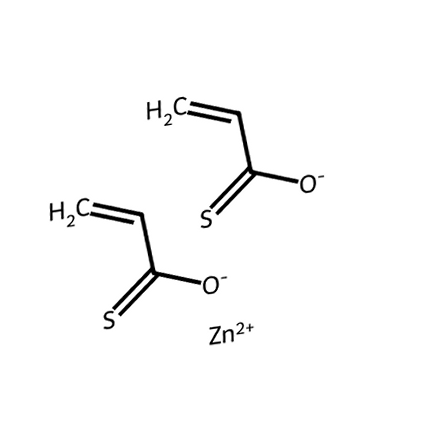 C=CC([O-])=S.C=CC([O-])=S.[Zn+2]